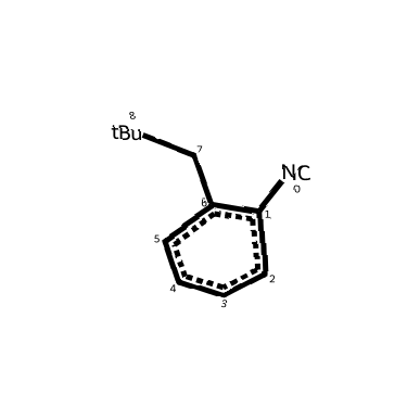 [C-]#[N+]c1ccccc1CC(C)(C)C